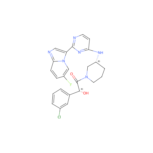 O=C([C@H](O)c1cccc(Cl)c1)N1CCC[C@@H](Nc2ccnc(-c3cnc4ccc(F)cn34)n2)C1